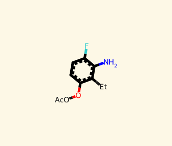 CCc1c(OOC(C)=O)ccc(F)c1N